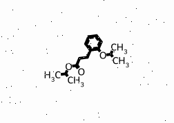 CC(C)OC(=O)CCc1ccccc1OC(C)C